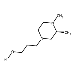 CC(C)OCCCN1CCN(C)[C@@H](C)C1